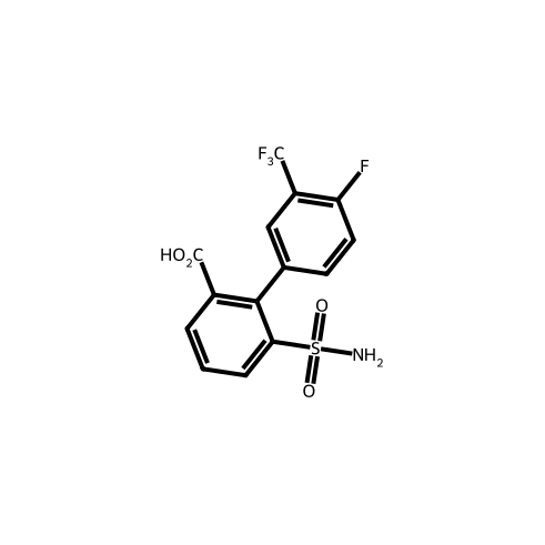 NS(=O)(=O)c1cccc(C(=O)O)c1-c1ccc(F)c(C(F)(F)F)c1